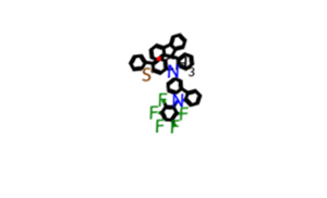 CC1(c2ccccc2N(c2ccc3c(c2)sc2ccccc23)c2ccc3c(c2)c2ccccc2n3-c2c(F)c(F)c(F)c(F)c2F)c2ccccc2-c2ccccc21